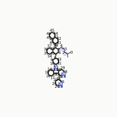 C/C=C\C=C/c1cc(-c2ccc(-n3c4ccccc4c4c(-c5cccnc5)nccc43)cc2)c2ccccc2c1-c1ccc2ccccc2c1